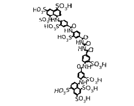 O=C(NC(=O)c1ccc(NC(=O)c2ccc(Nc3ccc(S(=O)(=O)O)c4cc(S(=O)(=O)O)cc(S(=O)(=O)O)c34)c(S(=O)(=O)O)c2)c(S(=O)(=O)O)c1)NC(=O)c1ccc(NC(=O)c2ccc(Nc3ccc(S(=O)(=O)O)c4cc(S(=O)(=O)O)cc(S(=O)(=O)O)c34)c(S(=O)(=O)O)c2)c(S(=O)(=O)O)c1